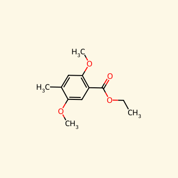 CCOC(=O)c1cc(OC)c(C)cc1OC